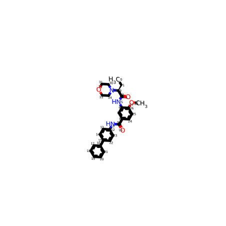 CC[C@@H](C(=O)Nc1cc(C(=O)Nc2ccc(-c3ccccc3)cc2)ccc1OC)N1CCOCC1